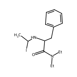 CCN(CC)C(=O)C(Cc1ccccc1)NC(C)I